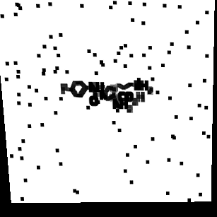 BCCC[C@H]1CN(C(=O)Nc2ccc(F)cc2)C[C@@]1(N)C(=O)O